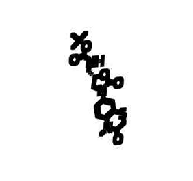 CN1C(=O)CSc2cc(N3C[C@H](CNC(=O)OC(C)(C)C)OC3=O)ccc21